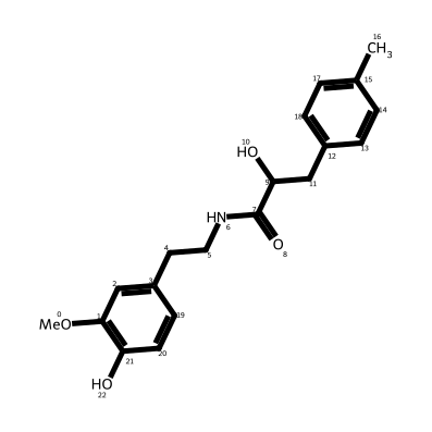 COc1cc(CCNC(=O)C(O)Cc2ccc(C)cc2)ccc1O